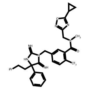 CC(C)CCC1(c2ccccc2)NC(=N)N(Cc2ccc(C(F)(F)F)c(C(=O)N(C)Cc3noc(C4CC4)n3)c2)C1=N